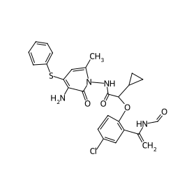 C=C(NC=O)c1cc(Cl)ccc1OC(C(=O)Nn1c(C)cc(Sc2ccccc2)c(N)c1=O)C1CC1